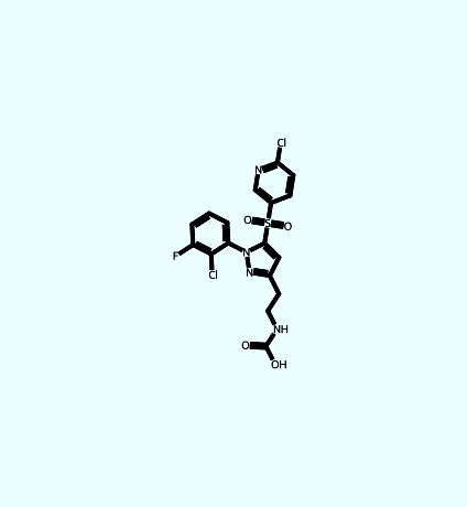 O=C(O)NCCc1cc(S(=O)(=O)c2ccc(Cl)nc2)n(-c2cccc(F)c2Cl)n1